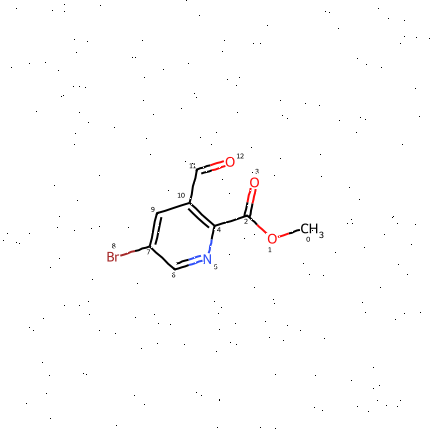 COC(=O)c1ncc(Br)cc1C=O